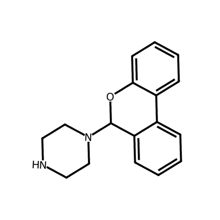 c1ccc2c(c1)OC(N1CCNCC1)c1ccccc1-2